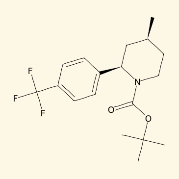 C[C@H]1CCN(C(=O)OC(C)(C)C)[C@@H](c2ccc(C(F)(F)F)cc2)C1